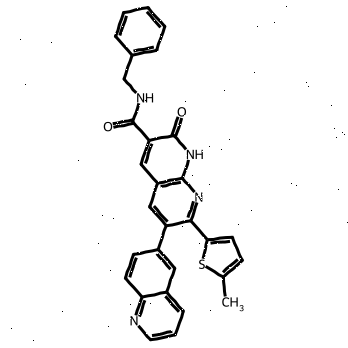 Cc1ccc(-c2nc3[nH]c(=O)c(C(=O)NCc4ccccc4)cc3cc2-c2ccc3ncccc3c2)s1